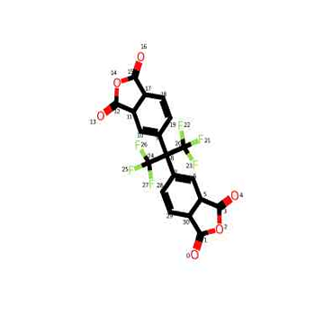 O=C1OC(=O)C2C=C(C(C3=CC4C(=O)OC(=O)C4C=C3)(C(F)(F)F)C(F)(F)F)C=CC12